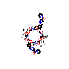 CC(C)C[C@H]1C(=O)O[C@H](Cc2cccc(Cn3cc(C(=O)N4CCCCC4)cn3)c2)C(=O)N(C)[C@@H](CC(C)C)C(=O)O[C@H](C)C(=O)N(C)[C@@H](CC(C)C)C(=O)O[C@H](Cc2ccc(Cn3cc(C(=O)N4CCCCC4)cn3)cc2)C(=O)N(C)[C@@H](CC(C)C)C(=O)O[C@H](C)C(=O)N1C